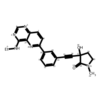 CCNc1ncnc2ccc(-c3cccc(C#CC4(O)CCN(C)C4=O)c3)nc12